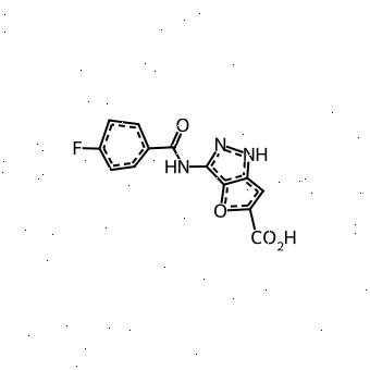 O=C(Nc1n[nH]c2cc(C(=O)O)oc12)c1ccc(F)cc1